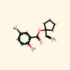 C=CC1(OC(=O)c2cc(C(C)CC)ccc2O)CCCC1